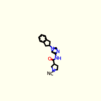 N#CN1CCC(C(=O)Nc2cn(C3Cc4ccccc4C3)cn2)C1